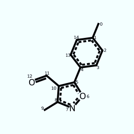 Cc1ccc(-c2onc(C)c2C=O)cc1